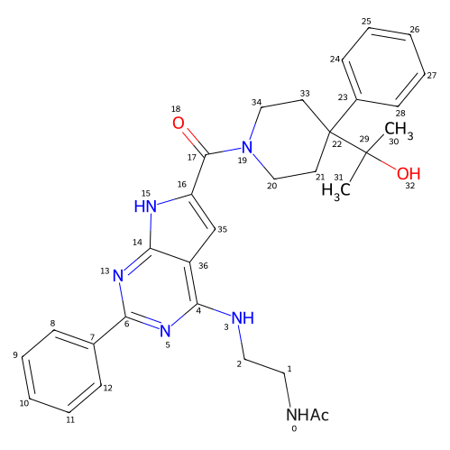 CC(=O)NCCNc1nc(-c2ccccc2)nc2[nH]c(C(=O)N3CCC(c4ccccc4)(C(C)(C)O)CC3)cc12